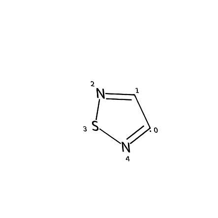 [c]1cnsn1